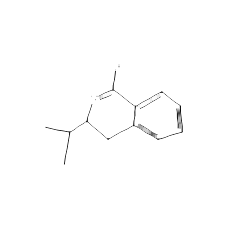 CC(C)C1Cc2ccccc2C(Br)=N1